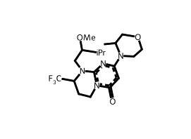 COC(CN1c2nc(N3CCOCC3C)cc(=O)n2CCC1C(F)(F)F)C(C)C